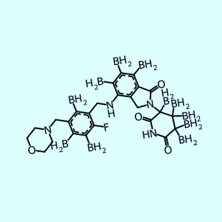 Bc1c(B)c(NCc2c(B)c(CN3CCOCC3)c(B)c(B)c2F)c2c(c1B)C(=O)N(C1(B)C(=O)NC(=O)C(B)(B)C1(B)B)C2